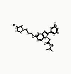 CC(C)NC(=O)Cn1c(-c2cccc(Cl)c2)cc2cc(OCCCN3CCC(O)C3)ccc21